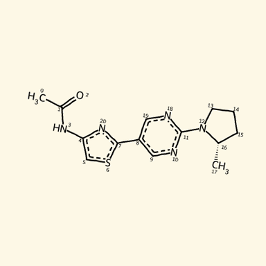 CC(=O)Nc1csc(-c2cnc(N3CCC[C@@H]3C)nc2)n1